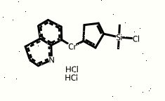 C[Si](C)(Cl)C1=CC[C]([Cr][c]2cccc3cccnc23)=C1.Cl.Cl